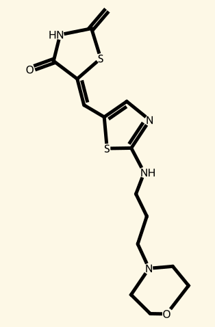 C=c1[nH]c(=O)/c(=C/c2cnc(NCCCN3CCOCC3)s2)s1